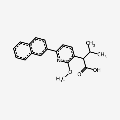 COc1nc(-c2ccc3ccccc3c2)ccc1C(C(=O)O)C(C)C